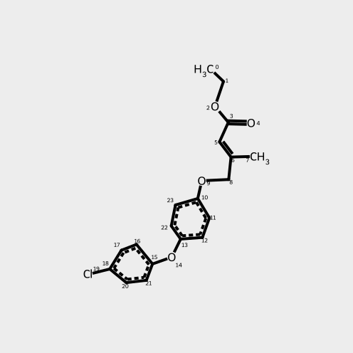 CCOC(=O)C=C(C)COc1ccc(Oc2ccc(Cl)cc2)cc1